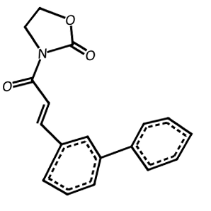 O=C(C=Cc1cccc(-c2ccccc2)c1)N1CCOC1=O